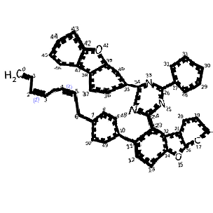 C=C/C=C\C=C/Cc1ccc(-c2ccc3oc4ccccc4c3c2-c2nc(-c3ccccc3)nc(-c3ccc4c(c3)oc3ccccc34)n2)cc1